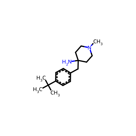 CN1CCC(N)(Cc2ccc(C(C)(C)C)cc2)CC1